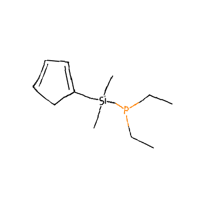 CCP(CC)[Si](C)(C)C1=CC=CC1